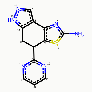 Nc1nc2c(s1)C(c1ncccn1)Cc1[nH]ncc1-2